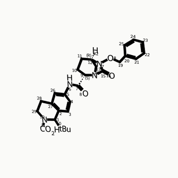 CC(C)(C)C1c2ccc(NC(=O)[C@@H]3CC[C@@H]4CN3C(=O)N4OCc3ccccc3)cc2CCN1C(=O)O